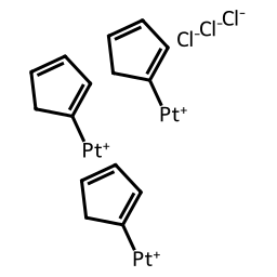 [Cl-].[Cl-].[Cl-].[Pt+][C]1=CC=CC1.[Pt+][C]1=CC=CC1.[Pt+][C]1=CC=CC1